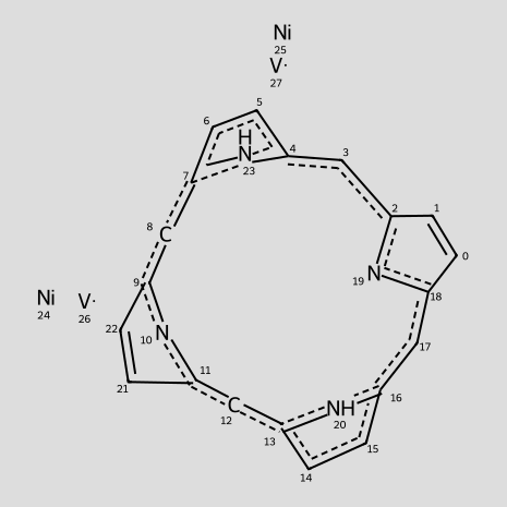 C1=Cc2cc3ccc(cc4nc(cc5ccc(cc1n2)[nH]5)C=C4)[nH]3.[Ni].[Ni].[V].[V]